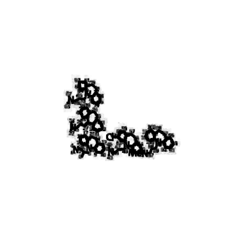 CC(CN(C)C)CN1c2ccccc2CCc2ccccc21.CN(C)CCC=C1c2ccccc2CCc2ccccc21.CN(C)CCCN1c2ccccc2CCc2ccc(Cl)cc21.CN(C)CCCN1c2ccccc2CCc2ccccc21.CNCCCN1c2ccccc2CCc2ccccc21